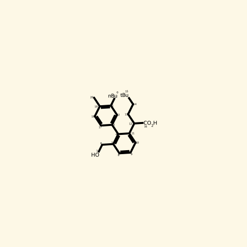 CCCCc1cc(-c2c(CO)cccc2C(CCC(C)(C)C)C(=O)O)ccc1C